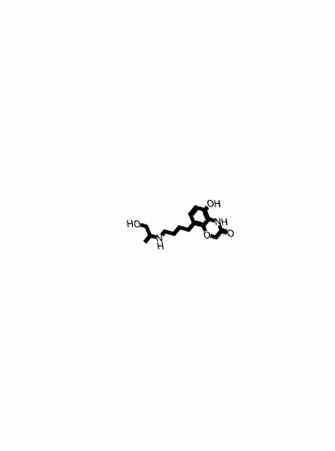 CC(CO)NCCCCc1ccc(O)c2c1OCC(=O)N2